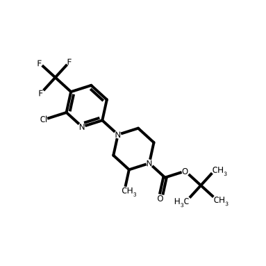 CC1CN(c2ccc(C(F)(F)F)c(Cl)n2)CCN1C(=O)OC(C)(C)C